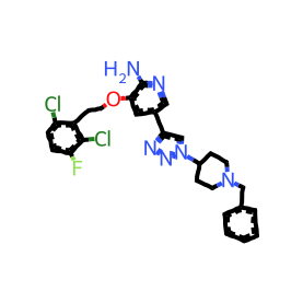 Nc1ncc(-c2cn(C3CCN(Cc4ccccc4)CC3)nn2)cc1OCCc1c(Cl)ccc(F)c1Cl